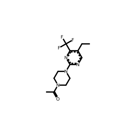 CCc1cnc(N2CCN(C(C)=O)CC2)nc1C(F)(F)F